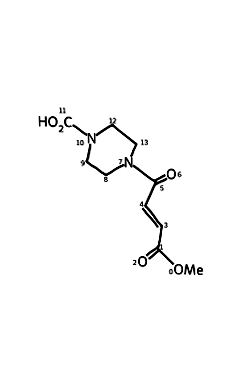 COC(=O)/C=C/C(=O)N1CCN(C(=O)O)CC1